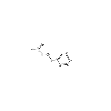 C[C@H](Br)COCc1ccccc1